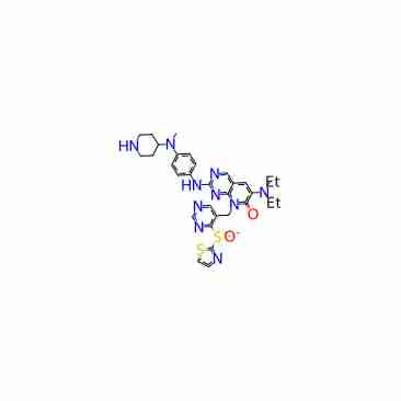 CCN(CC)c1cc2cnc(Nc3ccc(N(C)C4CCNCC4)cc3)nc2n(Cc2cncnc2[S+]([O-])c2nccs2)c1=O